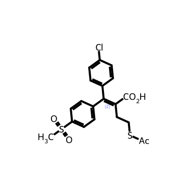 CC(=O)SCC/C(C(=O)O)=C(/c1ccc(Cl)cc1)c1ccc(S(C)(=O)=O)cc1